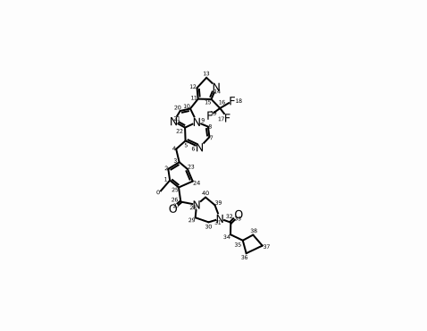 Cc1cc(Cc2nccn3c(C4=CCN=C4C(F)(F)F)cnc23)ccc1C(=O)N1CCN(C(=O)CC2CCC2)CC1